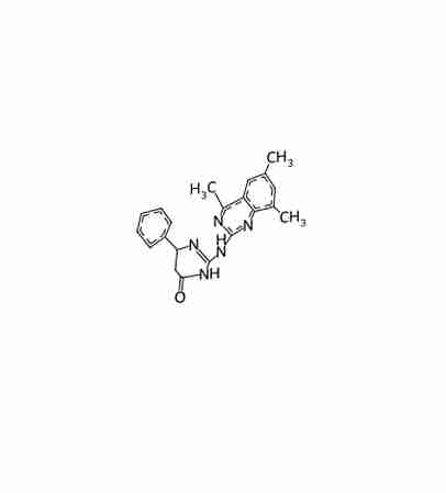 Cc1cc(C)c2nc(NC3=NC(c4ccccc4)CC(=O)N3)nc(C)c2c1